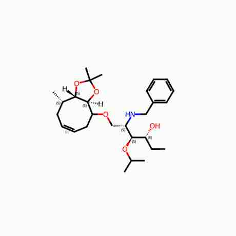 CC[C@@H](O)[C@@H](OC(C)C)[C@H](COC1C/C=C\C[C@H](C)[C@@H]2OC(C)(C)O[C@@H]12)NCc1ccccc1